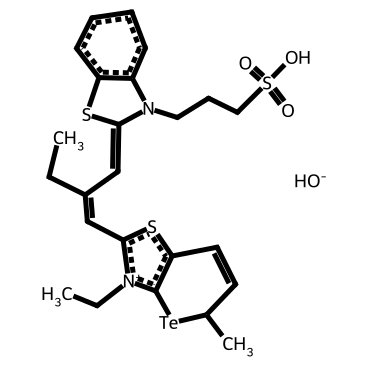 CCC(=Cc1sc2c([n+]1CC)[Te]C(C)C=C2)C=C1Sc2ccccc2N1CCCS(=O)(=O)O.[OH-]